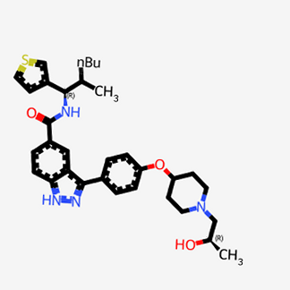 CCCCC(C)[C@@H](NC(=O)c1ccc2[nH]nc(-c3ccc(OC4CCN(C[C@@H](C)O)CC4)cc3)c2c1)c1ccsc1